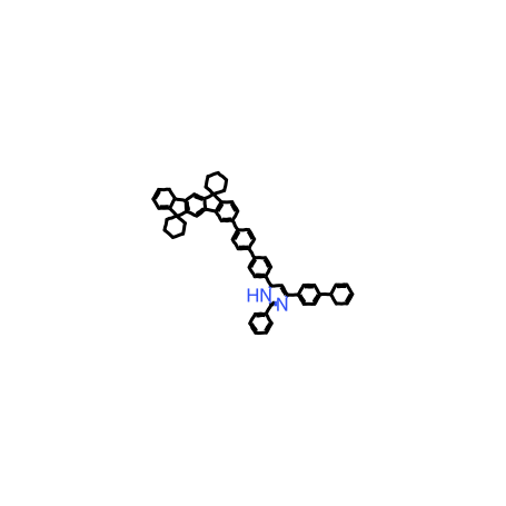 C1=CCC(c2ccc(C3=CC(c4ccc(-c5ccc(-c6ccc7c(c6)-c6cc8c(cc6C76CCCCC6)C6CC=CC=C6C86CCCCC6)cc5)cc4)NC(c4ccccc4)=N3)cc2)C=C1